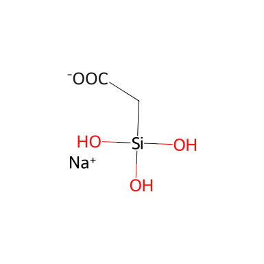 O=C([O-])C[Si](O)(O)O.[Na+]